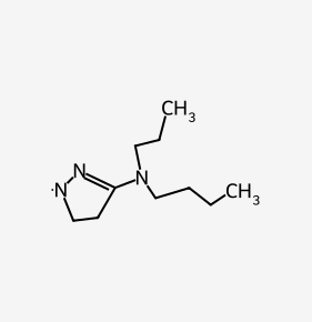 CCCCN(CCC)C1=N[N]CC1